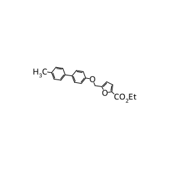 CCOC(=O)c1ccc(COc2ccc(-c3ccc(C)cc3)cc2)o1